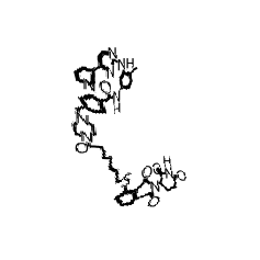 Cc1ccc(NC(=O)c2ccc(CN3CCN(C(=O)CCCCCCSc4cccc5c4C(=O)N(C4CCC(=O)NC4=O)C5=O)CC3)cc2)cc1Nc1nccc(-c2cccnc2)n1